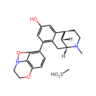 CN1CC[C@]23CCCC[C@H]2[C@H]1Cc1c(-c2ccc4c5c2on5CCO4)cc(O)cc13.CS(=O)(=O)O